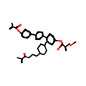 C=C(C)C(=O)CCCC1CCC(c2cc(OC(=O)C(=C)COC)ccc2-c2ccc(-c3ccc(OC(=O)C(=C)C)cc3)cc2)CC1